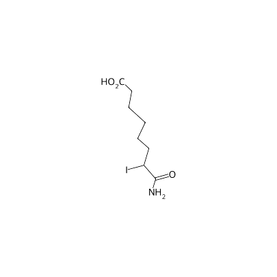 NC(=O)C(I)CCCCCC(=O)O